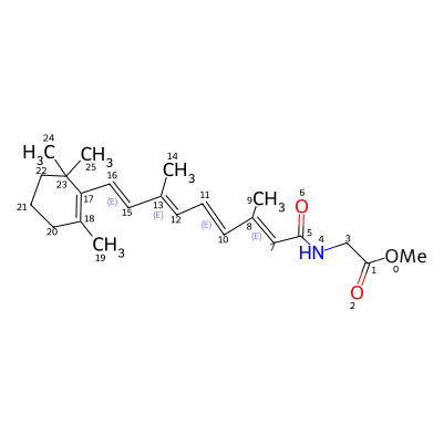 COC(=O)CNC(=O)/C=C(C)/C=C/C=C(C)/C=C/C1=C(C)CCCC1(C)C